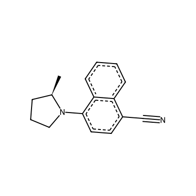 C[C@@H]1CCCN1c1ccc(C#N)c2ccccc12